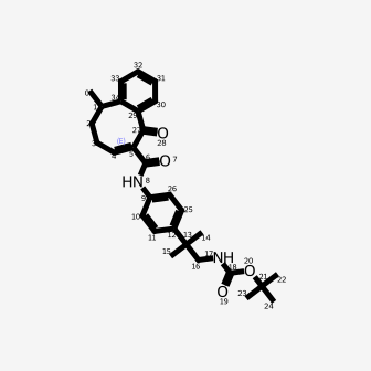 CC1CC/C=C(/C(=O)Nc2ccc(C(C)(C)CNC(=O)OC(C)(C)C)cc2)C(=O)c2ccccc21